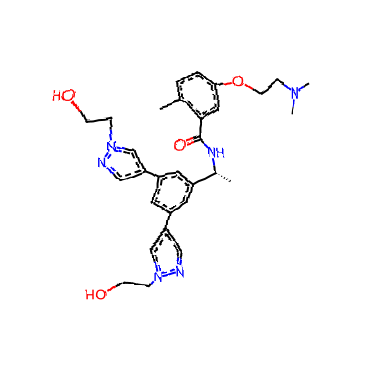 Cc1ccc(OCCN(C)C)cc1C(=O)N[C@H](C)c1cc(-c2cnn(CCO)c2)cc(-c2cnn(CCO)c2)c1